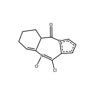 O=C1C2CCCC=C2[N+]([O-])=C(Cl)c2cccn21